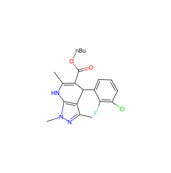 CCCCOC(=O)C1=C(C)Nc2c(c(C)nn2C)C1c1cccc(Cl)c1F